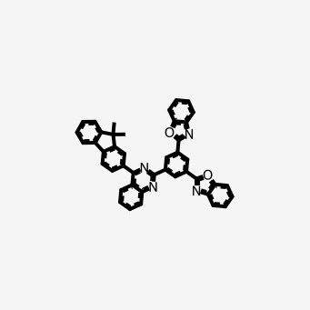 CC1(C)c2ccccc2-c2ccc(-c3nc(-c4cc(-c5nc6ccccc6o5)cc(-c5nc6ccccc6o5)c4)nc4ccccc34)cc21